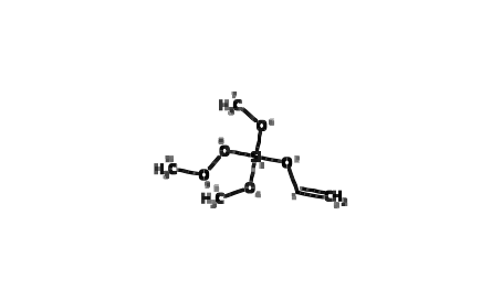 C=CO[Si](OC)(OC)OOC